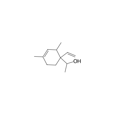 C=CC1(C(C)O)CCC(C)=CC1C